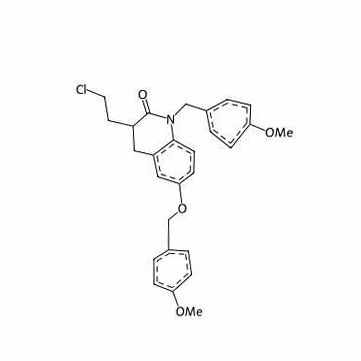 COc1ccc(COc2ccc3c(c2)CC(CCCl)C(=O)N3Cc2ccc(OC)cc2)cc1